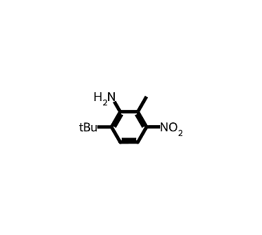 Cc1c([N+](=O)[O-])ccc(C(C)(C)C)c1N